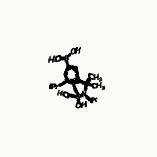 CC(C)c1cc(B(O)O)cc2c1S(O)(O)N(C(C)C)C2(C)C